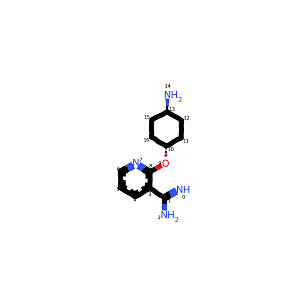 N=C(N)c1cccnc1O[C@H]1CC[C@H](N)CC1